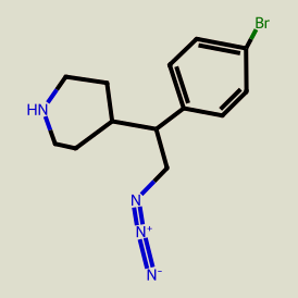 [N-]=[N+]=NCC(c1ccc(Br)cc1)C1CCNCC1